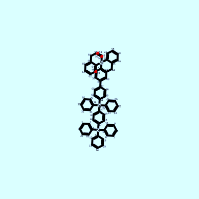 c1ccc([Si](c2ccccc2)(c2ccccc2)c2ccc([Si](c3ccccc3)(c3ccccc3)c3ccc(-c4ccc5c(c4)Cc4ccccc4[Si]54c5ccccc5Cc5ccccc54)cc3)cc2)cc1